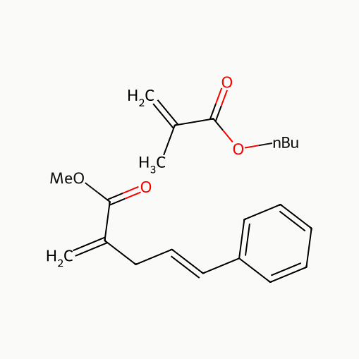 C=C(C)C(=O)OCCCC.C=C(CC=Cc1ccccc1)C(=O)OC